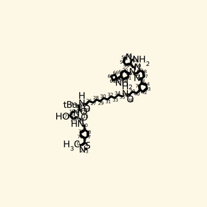 Cc1ncsc1-c1ccc(CNC(=O)[C@@H]2C[C@@H](O)CN2C(=O)[C@@H](NC(=O)CCCCCCCCCCNC(=O)CCc2cccc(-c3ccc4nc(-c5cccnc5N)n(-c5ccc(C6(N)CCC6)cc5)c4n3)c2)C(C)(C)C)cc1